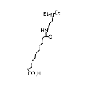 CCN(CC)CCCNC(=O)CCCCCCCCCC(=O)O